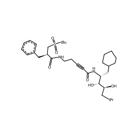 CC(C)C[C@H](O)[C@H](O)[C@@H](CC1CCCCC1)NC(=O)C#CCCNC(=O)[C@@H](Cc1ccccc1)CS(=O)(=O)C(C)(C)C